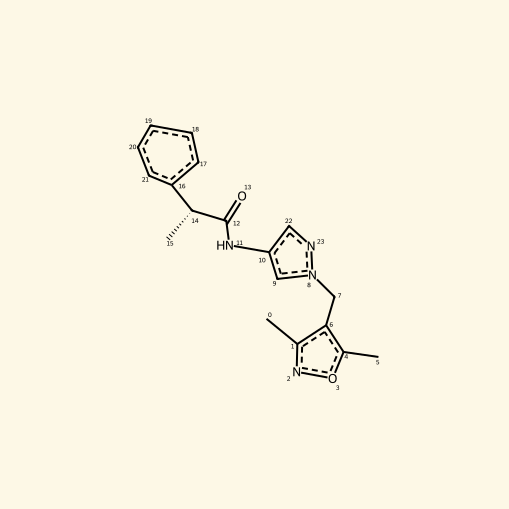 Cc1noc(C)c1Cn1cc(NC(=O)[C@H](C)c2ccccc2)cn1